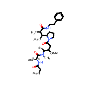 CCC(C)C(C(CC(=O)N1CCCC1C(OC)C(C)C(=O)NCCc1ccccc1)OC)N(C)C(=O)[C@@H](NC(=O)CNC)[C@@H](C)CC